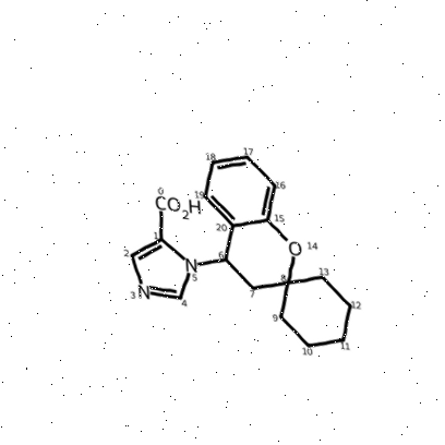 O=C(O)c1cncn1C1CC2(CCCCC2)Oc2ccccc21